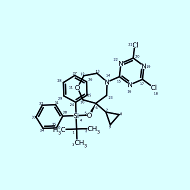 CC(C)(C)[Si](O[C@@]1(C2CC2)COCCN(c2nc(Cl)nc(Cl)n2)C1)(c1ccccc1)c1ccccc1